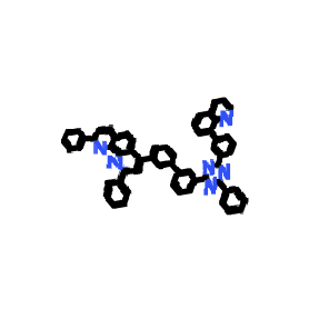 c1ccc(-c2ccc3ccc4c(-c5cccc(-c6cccc(-c7nc(-c8ccccc8)nc(-c8cccc(-c9cccc%10cccnc9%10)c8)n7)c6)c5)cc(-c5ccccc5)nc4c3n2)cc1